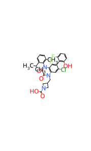 Cc1cccc(C(C)C)c1-n1c(=O)c(=O)n(CC2CN(C(=O)O)C2)c2cc(Cl)c(-c3c(O)cccc3F)c(F)c21